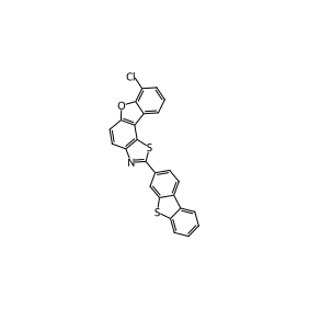 Clc1cccc2c1oc1ccc3nc(-c4ccc5c(c4)sc4ccccc45)sc3c12